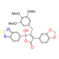 COc1cc(CC2=C(c3ccc4c(c3)OCO4)C(=O)OC2(O)c2ccc3nsnc3c2)cc(OC)c1OC